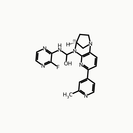 Cc1cc(-c2ccc3c(n2)N(C(O)Nc2nccnc2F)[C@H]2CCN3C2)ccn1